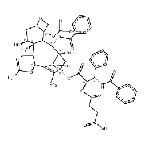 CC(=O)O[C@H]1C(=O)[C@@]2(C)C([C@H](OC(=O)c3ccccc3)[C@]3(O)C[C@H](OC(=O)[C@H](OC(=O)CCC(=O)O)[C@@H](NC(=O)c4ccccc4)c4ccccc4)C(C)=C1C3(C)C)[C@]1(OC(C)=O)COC1C[C@@H]2O